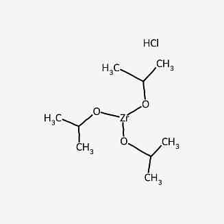 CC(C)[O][Zr]([O]C(C)C)[O]C(C)C.Cl